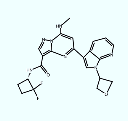 CNc1cc(-c2cn(C3COC3)c3ncccc23)nc2c(C(=O)N[C@H]3CCC3(F)F)cnn12